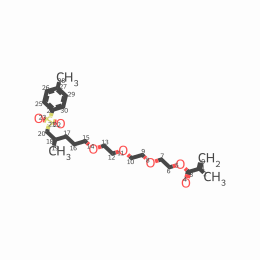 C=C(C)C(=O)OCCOCCOCCOCCCC(C)CS(=O)(=O)c1ccc(C)cc1